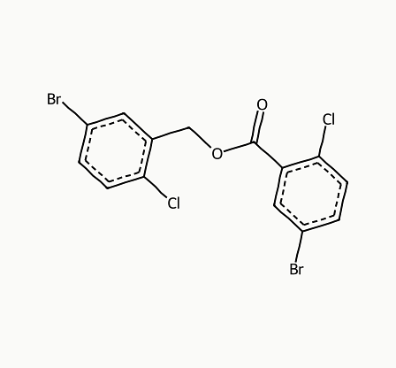 O=C(OCc1cc(Br)ccc1Cl)c1cc(Br)ccc1Cl